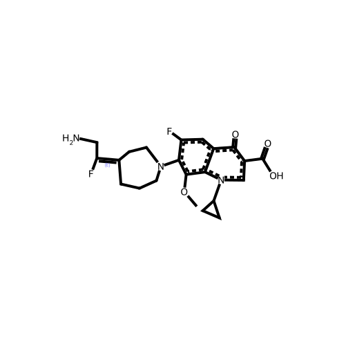 COc1c(N2CCC/C(=C(\F)CN)CC2)c(F)cc2c(=O)c(C(=O)O)cn(C3CC3)c12